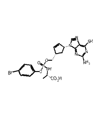 C[C@H](NP(=O)(OC[C@@H]1C=C[C@H](n2cnc3c(S)nc(N)nc32)C1)Oc1ccc(Br)cc1)C(=O)O